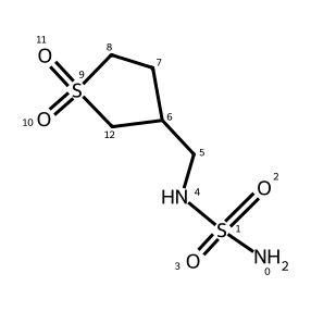 NS(=O)(=O)NCC1CCS(=O)(=O)C1